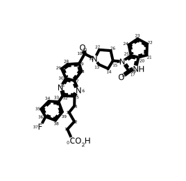 O=C(O)CCCCc1nc2cc(C(=O)N3CCC(n4c(=O)[nH]c5ccccc54)CC3)ccc2nc1-c1ccc(F)cc1